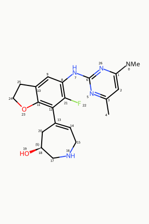 CNc1cc(C)nc(Nc2cc3c(c(C4=CCNC[C@@H](O)C4)c2F)OCC3)n1